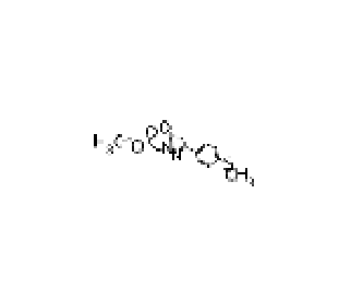 CCOC(=O)CN1N=C(c2ccc(SC)cc2)CC1=O